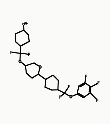 CCCC1CCC(C(F)(F)OC2CCC(C3CCC(C(F)(F)Oc4cc(F)c(F)c(F)c4)CC3)OC2)CC1